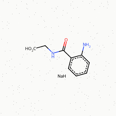 Nc1ccccc1C(=O)NCC(=O)O.[NaH]